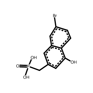 O=P(O)(O)Cc1cc(O)c2ccc(Br)cc2c1